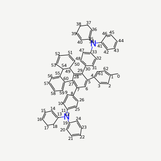 Cc1ccc(-c2cc(-c3ccc(N(C4=CC=CCC4)c4ccccc4)cc3)c3c(c2-c2ccc(N(C4=CCCC=C4)c4ccccc4)cc2)C2C=CC=CC2c2ccccc2-3)cc1